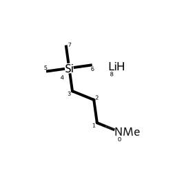 CNCCC[Si](C)(C)C.[LiH]